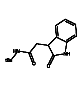 CC(C)(C)NC(=O)CC1C(=O)Nc2ccccc21